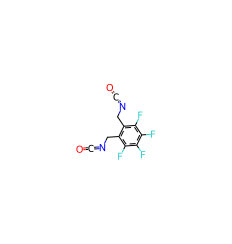 O=C=NCc1c(F)c(F)c(F)c(F)c1CN=C=O